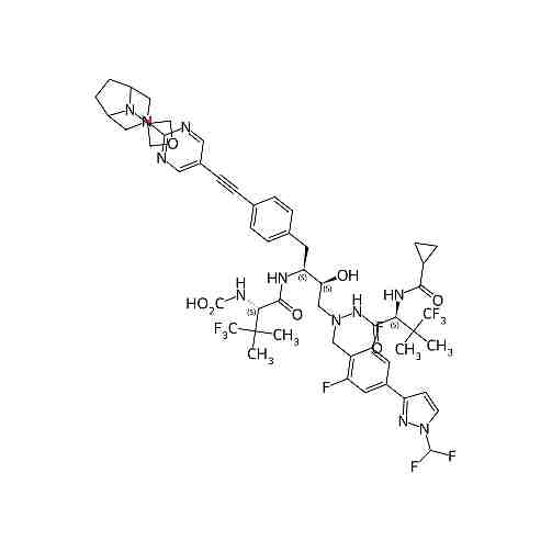 CC(C)([C@H](NC(=O)O)C(=O)N[C@@H](Cc1ccc(C#Cc2cnc(N3CC4CCC(C3)N4C3COC3)nc2)cc1)[C@@H](O)CN(Cc1c(F)cc(-c2ccn(C(F)F)n2)cc1F)NC(=O)[C@@H](NC(=O)C1CC1)C(C)(C)C(F)(F)F)C(F)(F)F